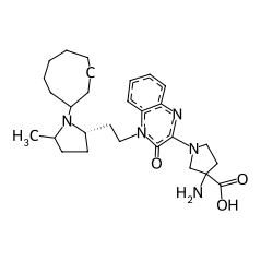 CC1CC[C@@H](CCn2c(=O)c(N3CCC(N)(C(=O)O)C3)nc3ccccc32)N1C1CCCCCCC1